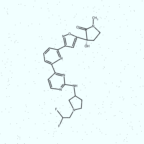 CN1CC[C@@](O)(c2cc(-c3cccc(-c4ccnc(NC5CCN(CC(F)F)C5)n4)n3)no2)C1=O